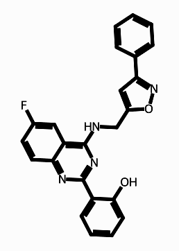 Oc1ccccc1-c1nc(NCc2cc(-c3ccccc3)no2)c2cc(F)ccc2n1